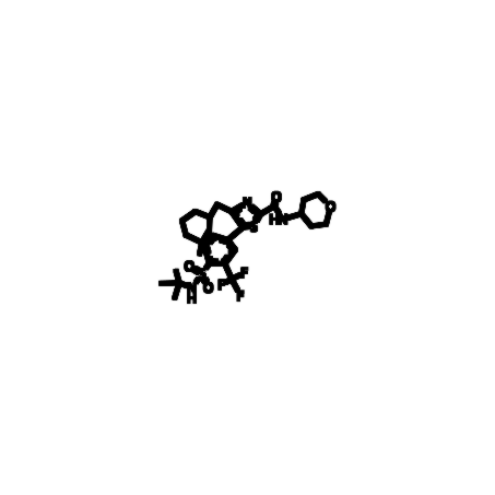 CC1CCCC(Cc2nc(C(=O)NC3CCOCC3)sc2-c2ccc(S(=O)(=O)NC(C)(C)C)c(C(F)(F)F)c2)C1